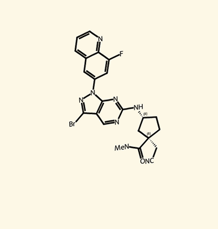 CNC(=O)[C@]1(CC#N)CC[C@@H](Nc2ncc3c(Br)nn(-c4cc(F)c5ncccc5c4)c3n2)C1